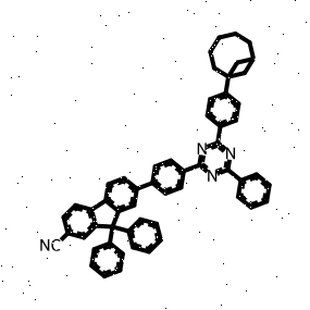 N#Cc1ccc2c(c1)C(c1ccccc1)(c1ccccc1)c1cc(-c3ccc(-c4nc(-c5ccccc5)nc(-c5ccc(C67CCCCCC(C6)C7)cc5)n4)cc3)ccc1-2